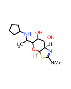 CNC1=N[C@@H]2[C@@H](O)[C@H](O)C([C@@H](C)NC3CCCC3)O[C@@H]2S1